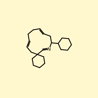 C1=C/CC(C2CCCCC2)/N=C/C2(C/C=C/CC/1)CCCCC2